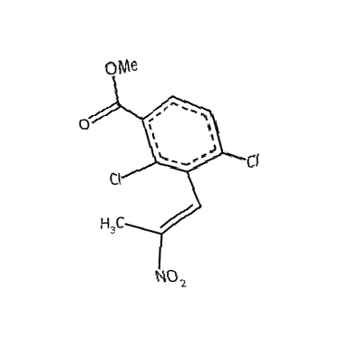 COC(=O)c1ccc(Cl)c(C=C(C)[N+](=O)[O-])c1Cl